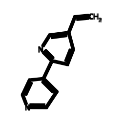 C=Cc1ccc(-c2ccncc2)nc1